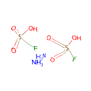 N.N.O=S(=O)(O)F.O=S(=O)(O)F